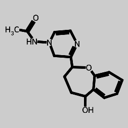 CC(=O)NN1C=CN=C(C2CCC(O)c3ccccc3O2)C1